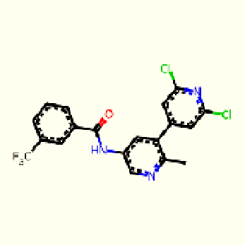 Cc1ncc(NC(=O)c2cccc(C(F)(F)F)c2)cc1-c1cc(Cl)nc(Cl)c1